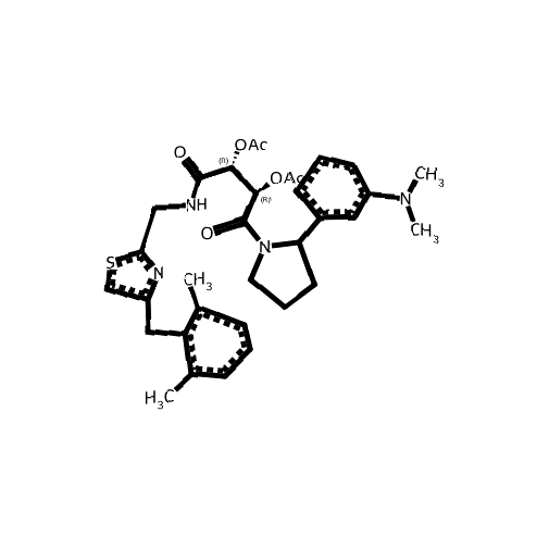 CC(=O)O[C@@H](C(=O)NCc1nc(Cc2c(C)cccc2C)cs1)[C@@H](OC(C)=O)C(=O)N1CCCC1c1cccc(N(C)C)c1